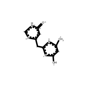 Cc1cc(O)nc(Cc2cc(=O)[nH]cn2)n1